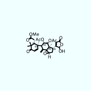 C=C1C([C@@]2(C)C=CC(=O)C(C)(C)[C@@H]2CC(=O)OC)[C@H](OC(C)=O)[C@H](OC(C)=O)[C@@]2(C)[C@H](C3=CC(=O)OC3O)C[C@H]3OC132